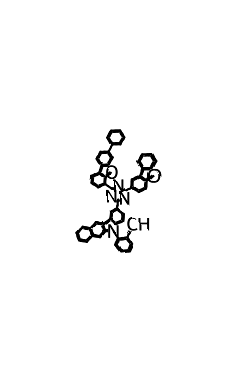 C#Cc1ccccc1-n1c2ccc(-c3nc(-c4ccc5oc6ccccc6c5c4)nc(-c4cccc5c4oc4cc(-c6ccccc6)ccc45)n3)cc2c2cc3ccccc3cc21